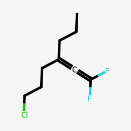 CCCC(=C=C(F)F)CCCCl